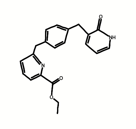 CCOC(=O)c1cccc(Cc2ccc(Cc3ccc[nH]c3=O)cc2)n1